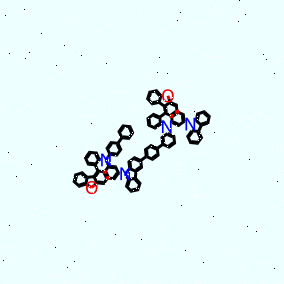 c1ccc(-c2ccc(N(c3cccc(-n4c5ccccc5c5cc(-c6ccc(-c7cccc(N(c8cccc(-n9c%10ccccc%10c%10ccccc%109)c8)c8ccccc8-c8cccc9oc%10ccccc%10c89)c7)cc6)ccc54)c3)c3ccccc3-c3cccc4oc5ccccc5c34)cc2)cc1